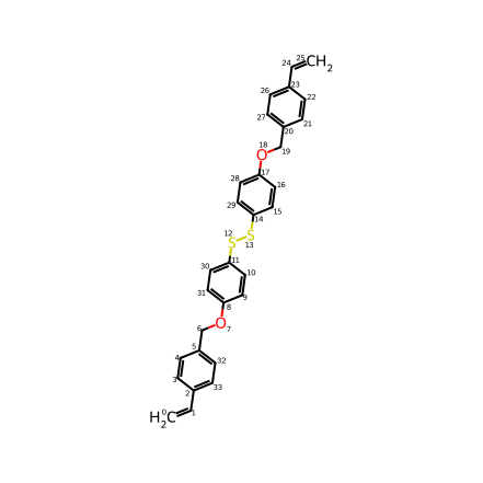 C=Cc1ccc(COc2ccc(SSc3ccc(OCc4ccc(C=C)cc4)cc3)cc2)cc1